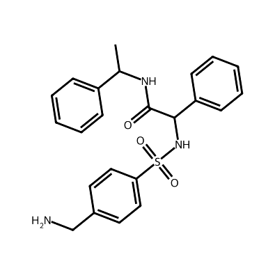 CC(NC(=O)C(NS(=O)(=O)c1ccc(CN)cc1)c1ccccc1)c1ccccc1